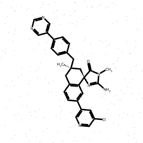 CN1C(=O)[C@]2(C[C@](C)(Cc3ccc(-c4cncnc4)cc3)Cc3ccc(-c4cncc(Cl)c4)cc32)N=C1N